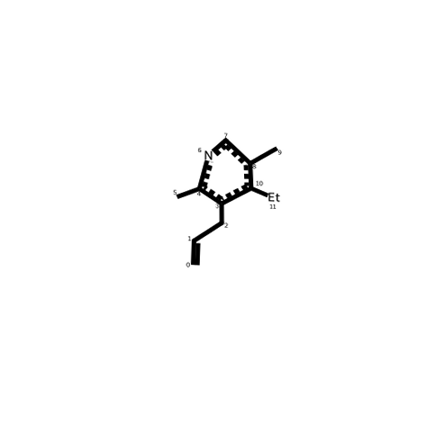 C=CCc1c(C)ncc(C)c1CC